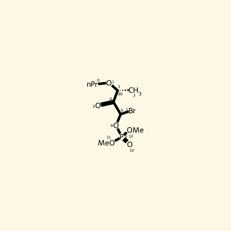 CCCO[C@H](C)C(=O)C(Br)OP(=O)(OC)OC